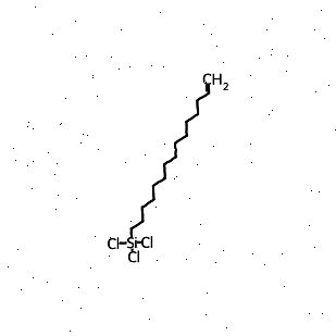 C=CCCCCCCCCCCCCC[Si](Cl)(Cl)Cl